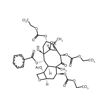 CC(=O)O[C@@]12CO[C@@H]1C[C@H](OC(=O)OCC(Cl)(Cl)Cl)[C@@]1(C)C(=O)[C@H](OC(=O)OCC(Cl)(Cl)Cl)C3=C(C)[C@@H](OC(=O)OCC(Cl)(Cl)Cl)C[C@](O)([C@@H]3C)[C@@H](OC(=O)c3ccccc3)[C@H]21